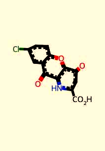 O=C(O)c1cc(=O)c2oc3ccc(Cl)cc3c(=O)c2[nH]1